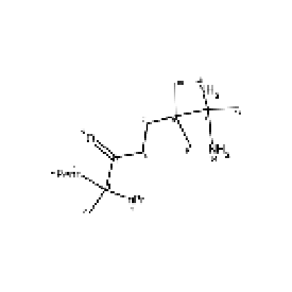 CCCCCC(C)(CCC)C(=O)CCC(C)(C)C(C)(N)N